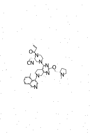 C=CC(=O)N1CCN(c2nc(OC[C@@H]3CCCN3C)nc3c2CCN(c2cncc4cccc(C)c24)C3)C[C@@H]1CC#N